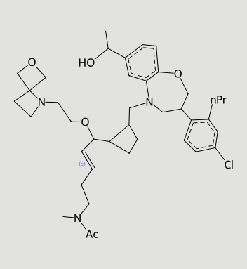 CCCc1cc(Cl)ccc1C1COc2ccc(C(C)O)cc2N(CC2CCC2C(/C=C/CCN(C)C(C)=O)OCCN2CCC23COC3)C1